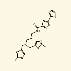 Cc1ncc(CN(CCCNC(=O)c2cc(-c3cccs3)on2)Cc2cnc(C)o2)o1